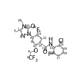 Cc1nn(-c2cc(OCC(F)(F)F)c(C(=O)Nc3c(F)cccc3Cl)cc2F)c(=O)n1C